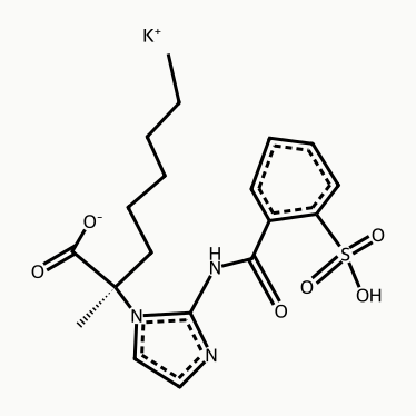 CCCCCC[C@](C)(C(=O)[O-])n1ccnc1NC(=O)c1ccccc1S(=O)(=O)O.[K+]